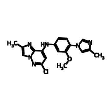 COc1cc(Nc2cc(Cl)nn3cc(C)nc23)ccc1-n1cnc(C)c1